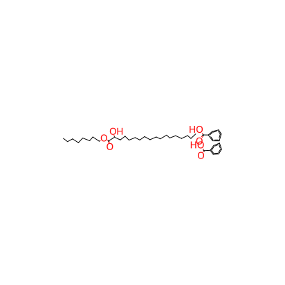 CCCCCCCCCCCCCCCCC(O)C(=O)OCCCCCCCC.O=C(O)c1ccccc1.O=C(O)c1ccccc1